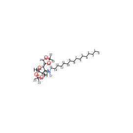 CCCCCCCCCCCCCCCCN(C)C1[C@H]2OC(C)(C)O[C@H]2O[C@@H]1[C@H]1COC(C)(C)O1